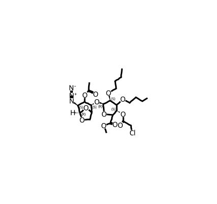 CCCCOC1[C@H](OC(=O)CCl)C(C(=O)OC)O[C@@H](O[C@@H]2C3CO[C@H](O3)[C@@H](N=[N+]=[N-])C2OC(C)=O)[C@H]1OCCCC